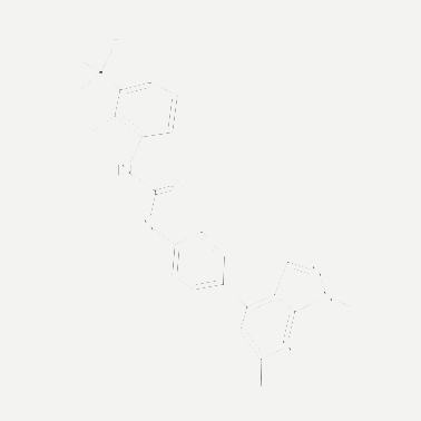 Cc1cc(-c2ccc(NC(=O)Nc3cccc(C(F)(F)F)c3F)cc2)c2cnn(C)c2n1